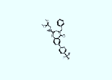 COC(CNC1=Nc2ccc(-c3ccc(C(F)(F)F)cc3)cc2C(=O)N(Cc2ccccc2)C1)OC